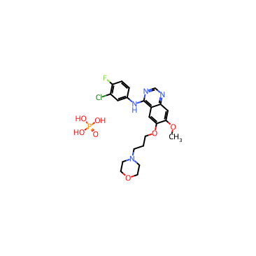 COc1cc2ncnc(Nc3ccc(F)c(Cl)c3)c2cc1OCCCN1CCOCC1.O=P(O)(O)O